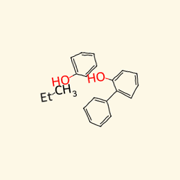 CCC.Oc1ccccc1.Oc1ccccc1-c1ccccc1